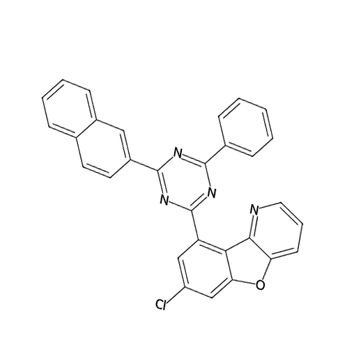 Clc1cc(-c2nc(-c3ccccc3)nc(-c3ccc4ccccc4c3)n2)c2c(c1)oc1cccnc12